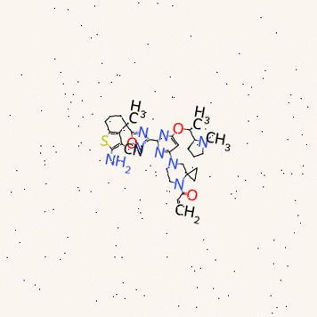 C=CC(=O)N1CCN(c2cc(O[C@@H](C)[C@@H]3CCCN3C)nc(-c3noc([C@@]4(C)CCCc5sc(N)c(C#N)c54)n3)n2)CC12CC2